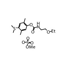 CCOCCNC(=O)Oc1cc(C)c([S+](C)C)cc1C.COS(=O)(=O)[O-]